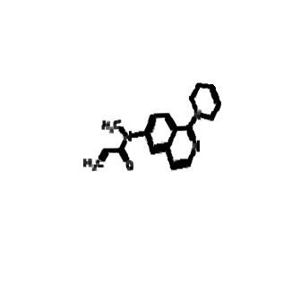 C=CC(=O)N(C)c1ccc2c(N3CC=CCC3)nccc2c1